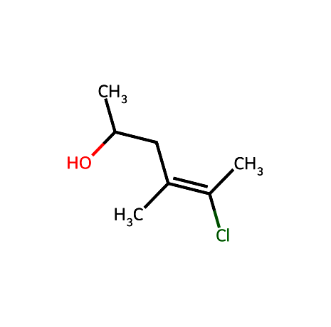 CC(Cl)=C(C)CC(C)O